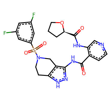 O=C(Nc1n[nH]c2c1CN(S(=O)(=O)c1cc(F)cc(F)c1)CC2)c1ccncc1NC(=O)[C@H]1CCCO1